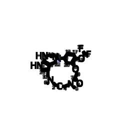 CN1CCCN(C)C(=O)COC2=C(OC(F)F)C=CC(C2)/N=C2\N=CNc3[nH]cc(c32)C1